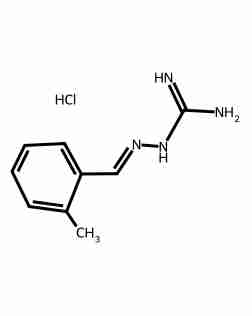 Cc1ccccc1/C=N/NC(=N)N.Cl